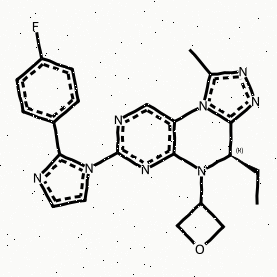 CC[C@@H]1c2nnc(C)n2-c2cnc(-n3ccnc3-c3ccc(F)cc3)nc2N1C1COC1